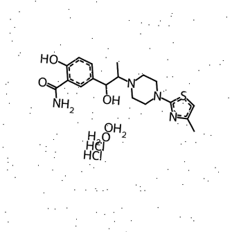 Cc1csc(N2CCN(C(C)C(O)c3ccc(O)c(C(N)=O)c3)CC2)n1.Cl.Cl.O.O